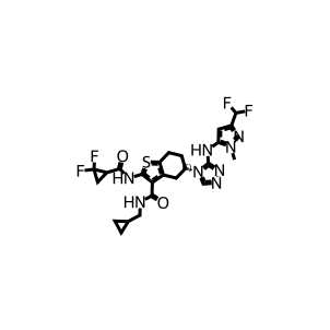 Cn1nc(C(F)F)cc1Nc1nncn1[C@H]1CCc2sc(NC(=O)C3CC3(F)F)c(C(=O)NCC3CC3)c2C1